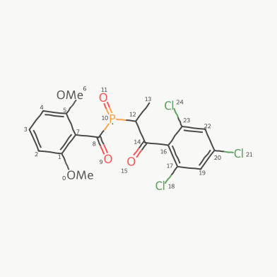 COc1cccc(OC)c1C(=O)[P](=O)C(C)C(=O)c1c(Cl)cc(Cl)cc1Cl